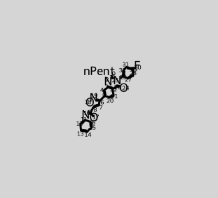 CCCCCc1nc2cc(-c3cc(-c4nc5ccccc5o4)on3)ccc2c(=O)n1-c1ccc(F)cc1